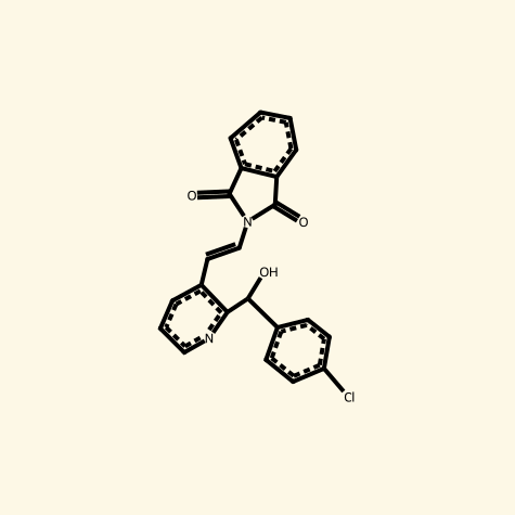 O=C1c2ccccc2C(=O)N1/C=C/c1cccnc1C(O)c1ccc(Cl)cc1